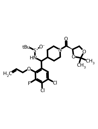 C=CCOc1c(C(N[S+]([O-])C(C)(C)C)C2CCN(C(=O)[C@H]3COC(C)(C)O3)CC2)cc(Cl)c(Cl)c1F